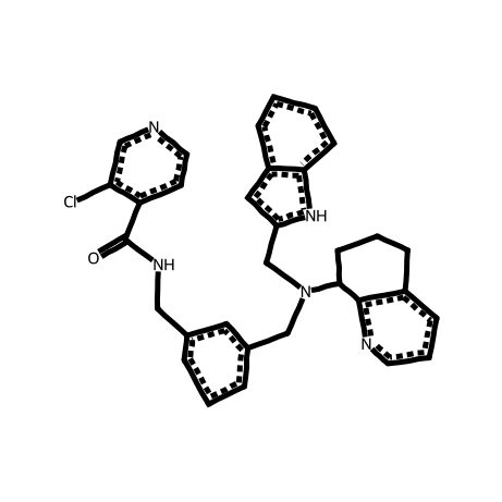 O=C(NCc1cccc(CN(Cc2cc3ccccc3[nH]2)C2CCCc3cccnc32)c1)c1ccncc1Cl